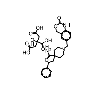 NC(=O)C1(CCc2ccccc2)CCN(Cc2ccc3c(c2)COC(=O)N3)CC1.O=C(O)CC(O)(CC(=O)O)C(=O)O